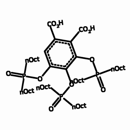 CCCCCCCCP(=O)(CCCCCCCC)Oc1cc(C(=O)O)c(C(=O)O)c(OP(=O)(CCCCCCCC)CCCCCCCC)c1OP(=O)(CCCCCCCC)CCCCCCCC